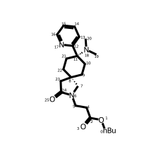 CCCCOC(=O)CCN1C[C@]2(CC[C@@](c3ccccn3)(N(C)C)CC2)CC1=O